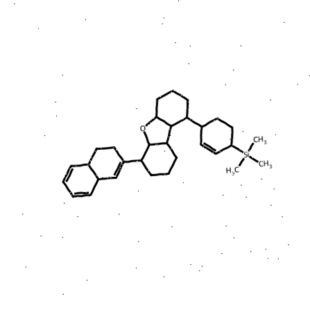 C[Si](C)(C)C1C=CC(C2CCCC3OC4C(C5=CC6C=CC=CC6CC5)CCCC4C32)CC1